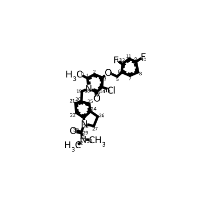 Cc1cc(OCc2ccc(F)cc2F)c(Cl)c(=O)n1Cc1ccc2c(c1)CCN2C(=O)N(C)C